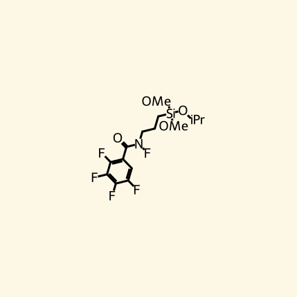 CO[Si](CCCN(F)C(=O)c1cc(F)c(F)c(F)c1F)(OC)OC(C)C